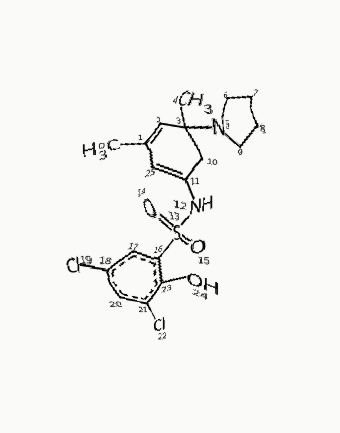 CC1=CC(C)(N2CCCC2)CC(NS(=O)(=O)c2cc(Cl)cc(Cl)c2O)=C1